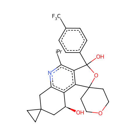 CC(C)c1nc2c(c3c1C(O)(c1ccc(C(F)(F)F)cc1)OC31CCOCC1)[C@@H](O)CC1(CC1)C2